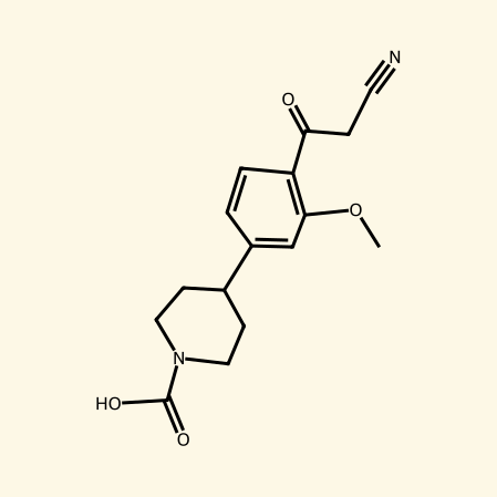 COc1cc(C2CCN(C(=O)O)CC2)ccc1C(=O)CC#N